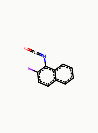 O=C=Nc1c(I)ccc2ccccc12